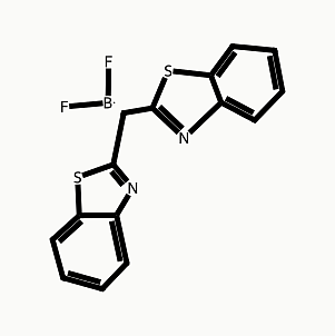 F[B]F.c1ccc2sc(Cc3nc4ccccc4s3)nc2c1